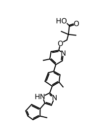 Cc1cc(OCC(C)(C)C(=O)O)ncc1-c1ccc(-c2ncc(-c3ccccc3C)[nH]2)c(C)c1